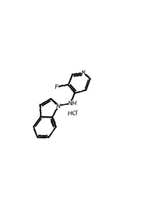 Cl.Fc1cnccc1Nn1ccc2ccccc21